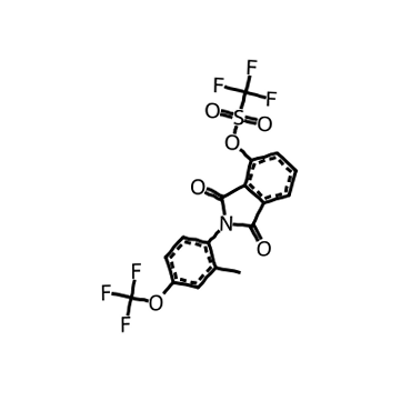 Cc1cc(OC(F)(F)F)ccc1N1C(=O)c2cccc(OS(=O)(=O)C(F)(F)F)c2C1=O